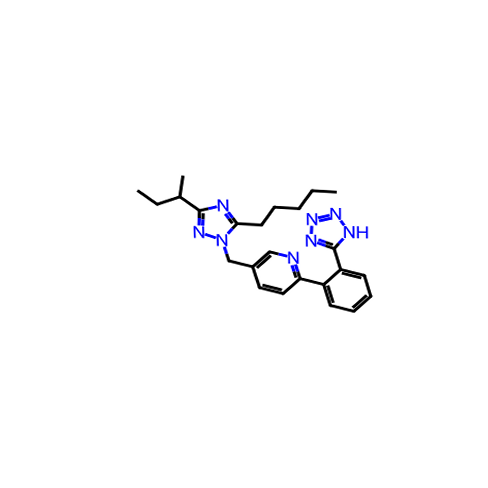 CCCCCc1nc(C(C)CC)nn1Cc1ccc(-c2ccccc2-c2nnn[nH]2)nc1